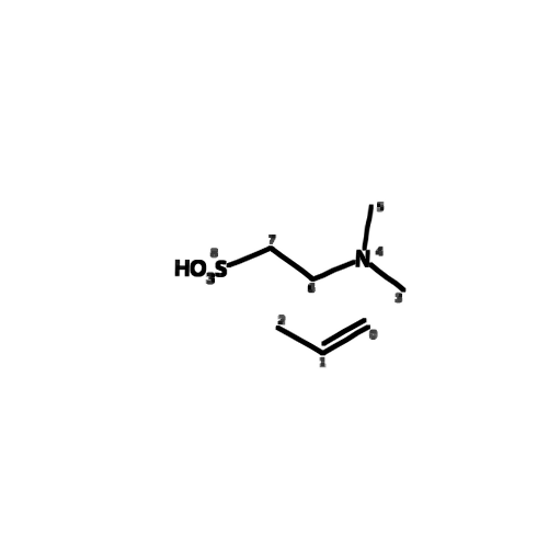 C=CC.CN(C)CCS(=O)(=O)O